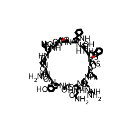 CCCC[C@H]1C(=O)N[C@@H](CCCNC(=N)N)C(=O)NC(C(=O)NCC(N)=O)CSCC(=O)N[C@@H](Cc2ccc(O)cc2)C(=O)N(C)[C@@H](C)C(=O)N[C@@H](CC(N)=O)C(=O)N2CCC[C@H]2C(=O)N[C@@H](Cc2cnc[nH]2)C(=O)N[C@@H](CO)C(=O)N2CCC[C@H]2C(=O)N[C@@H](Cc2c[nH]c3ccccc23)C(=O)N[C@@H](CO)C(=O)N[C@@H](Cc2csc3ccccc23)C(=O)N(C)[C@@H](CCSC)C(=O)N1C